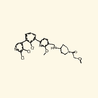 COCC(=O)N1CCC(NCc2ccc(-c3cccc(-c4ccnc(Cl)c4Cl)c3Cl)nc2OC)CC1